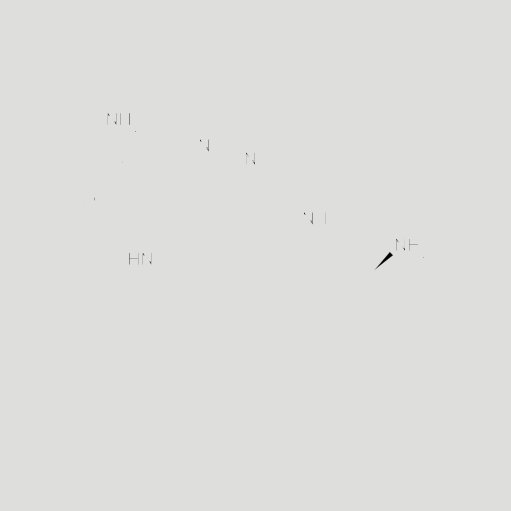 NC(=O)c1nnc(NC2CCCC[C@@H]2N)cc1Nc1ccccc1